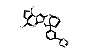 CCCCc1cn(-c2c(C(=O)C(F)(F)F)ccn2CC)c(=O)n1CC1(c2cccc(-c3nnn[nH]3)c2)C=CN=CC1